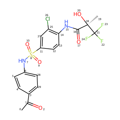 CC(=O)c1ccc(NS(=O)(=O)c2ccc(NC(=O)[C@@](C)(O)C(F)(F)F)c(Cl)c2)cc1